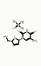 Cc1cn([C@H]2C=C[C@@H](CO)O2)c(=O)[nH]c1=O.O=P(O)(O)O